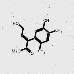 COC(=O)/C(=C/CO)c1cc(O)c(C)cc1C